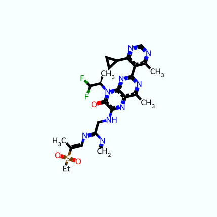 C=N/C(CNc1nc2c(C)nc(-c3c(C)ncnc3C3CC3)nc2n([C@H](C)C(F)F)c1=O)=N\C=C(/C)S(=O)(=O)CC